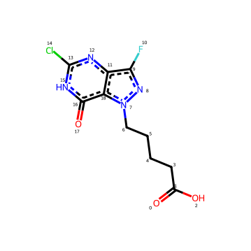 O=C(O)CCCCn1nc(F)c2nc(Cl)[nH]c(=O)c21